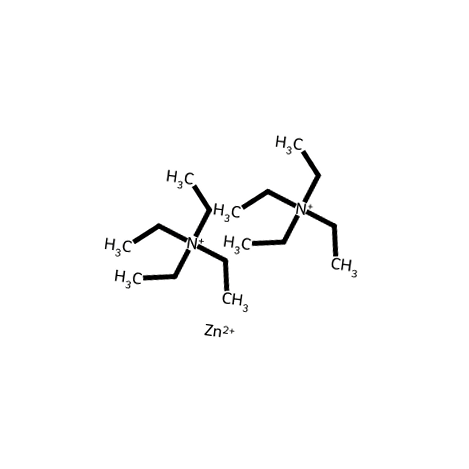 CC[N+](CC)(CC)CC.CC[N+](CC)(CC)CC.[Zn+2]